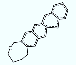 c1ccc2cc3cc4cc5c(cc4cc3cc2c1)CCCCCC5